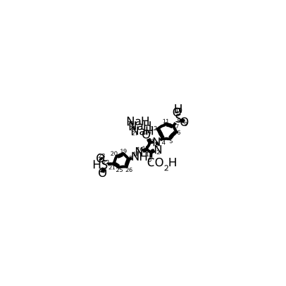 O=C(O)C1=NN(c2ccc([SH](=O)=O)cc2)C(=O)/C1=N/Nc1ccc([SH](=O)=O)cc1.[NaH].[NaH].[NaH]